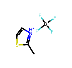 Cc1[nH+]ccs1.F[B-](F)(F)F